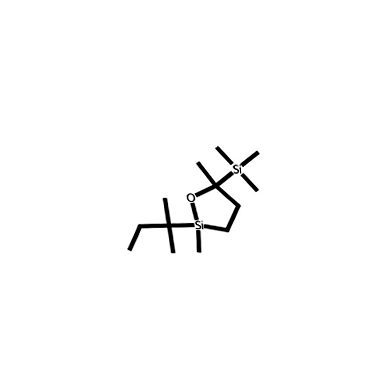 CCC(C)(C)[Si]1(C)CCC(C)([Si](C)(C)C)O1